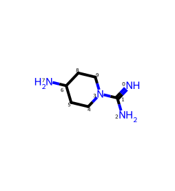 N=C(N)N1CCC(N)CC1